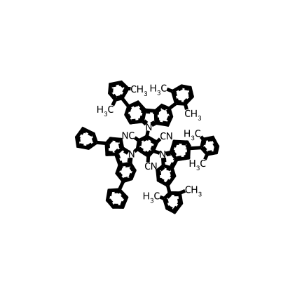 Cc1cccc(C)c1-c1ccc2c(c1)c1cc(-c3c(C)cccc3C)ccc1n2-c1c(C#N)c(-n2c3ccc(-c4ccccc4)cc3c3cc(-c4ccccc4)ccc32)c(C#N)c(-n2c3ccc(-c4c(C)cccc4C)cc3c3cc(-c4c(C)cccc4C)ccc32)c1C#N